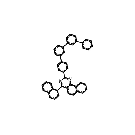 c1ccc(-c2cccc(-c3cccc(-c4ccc(-c5nc(-c6cccc7ccccc67)c6ccc7ccccc7c6n5)cc4)c3)c2)cc1